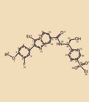 CCc1c(-c2ccc(OC(C)C)c(F)c2)nc2cc(C(=O)N[C@@H](CO)c3ccc(S(=O)(=O)CC)cn3)ccn12